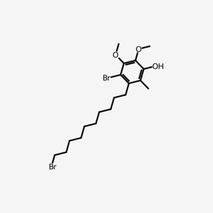 COc1c(O)c(C)c(CCCCCCCCCCBr)c(Br)c1OC